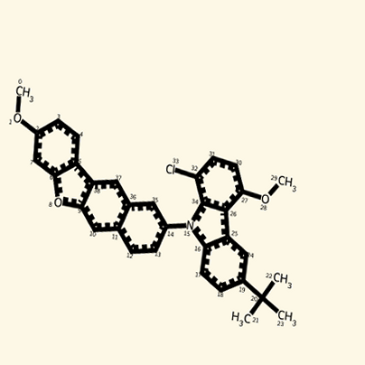 COc1ccc2c(c1)oc1cc3ccc(-n4c5ccc(C(C)(C)C)cc5c5c(OC)ccc(Cl)c54)cc3cc12